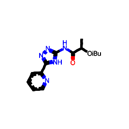 CC(C)COC(C)C(=O)Nc1nnc(-c2ccccn2)[nH]1